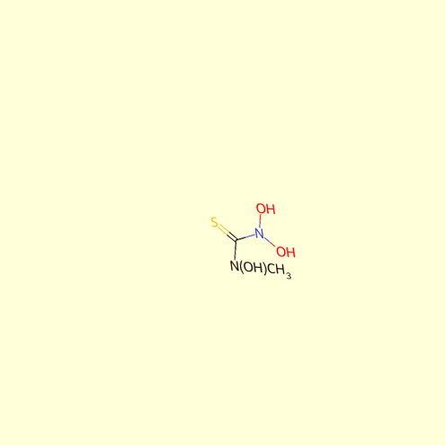 CN(O)C(=S)N(O)O